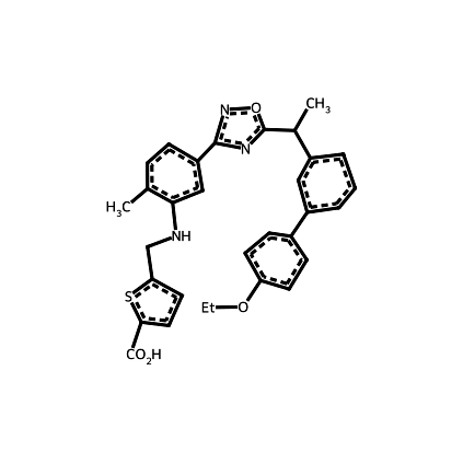 CCOc1ccc(-c2cccc(C(C)c3nc(-c4ccc(C)c(NCc5ccc(C(=O)O)s5)c4)no3)c2)cc1